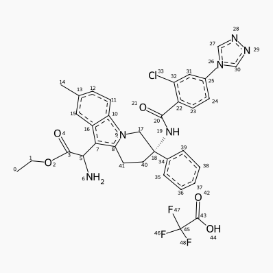 CCOC(=O)C(N)c1c2n(c3ccc(C)cc13)C[C@@](NC(=O)c1ccc(-n3cnnc3)cc1Cl)(c1ccccc1)CC2.O=C(O)C(F)(F)F